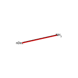 CCCCCCCCCCCCCCCCCCCCCCCCCCCCCCCCCCCCCCCCCCCCCCCCCCCCCCCCCCC=CN